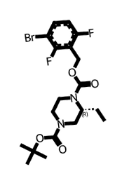 CC[C@@H]1CN(C(=O)OC(C)(C)C)CCN1C(=O)OCc1c(F)ccc(Br)c1F